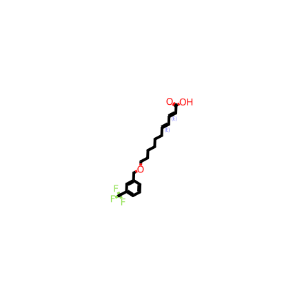 O=C(O)/C=C/C=C/CCCCCCOCc1cccc(C(F)(F)F)c1